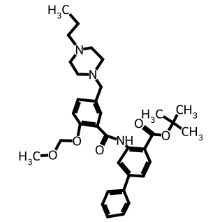 CCCN1CCN(Cc2ccc(OCOC)c(C(=O)Nc3cc(-c4ccccc4)ccc3C(=O)OC(C)(C)C)c2)CC1